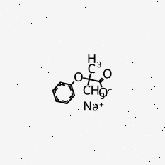 CC(C)(Oc1ccccc1)C(=O)[O-].[Na+]